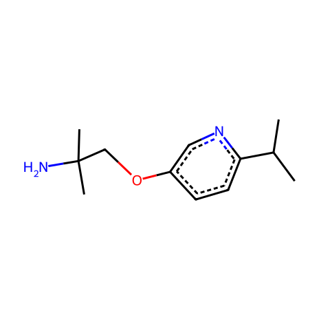 CC(C)c1ccc(OCC(C)(C)N)cn1